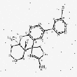 C[C@@]12CCOC[C@H]1C1(COC(N)=N1)c1cc(-c3cncc(F)c3)ccc1O2